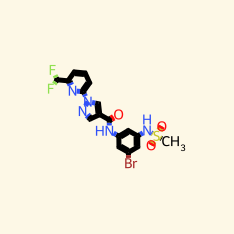 CS(=O)(=O)Nc1cc(Br)cc(NC(=O)c2cnn(-c3cccc(C(F)F)n3)c2)c1